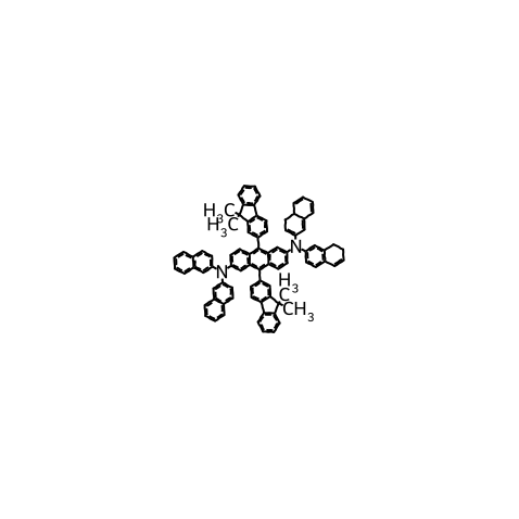 CC1(C)c2ccccc2-c2ccc(-c3c4ccc(N(c5ccc6ccccc6c5)c5ccc6ccccc6c5)cc4c(-c4ccc5c(c4)C(C)(C)c4ccccc4-5)c4ccc(N(C5=CCC6C=CC=CC6=C5)c5ccc6c(c5)CCC=C6)cc34)cc21